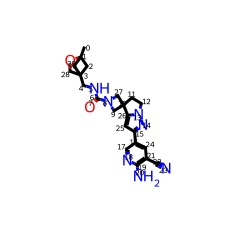 CC12CC(CNC(=O)N3CC4(CCn5nc(-c6cnc(N)c(C#N)c6)cc54)C3)(CO1)C2